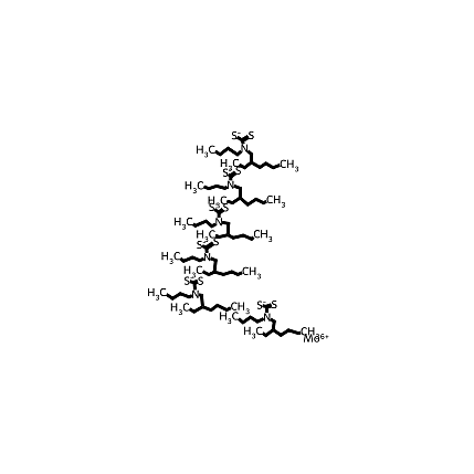 CCCCC(CC)CN(CCCC)C(=S)[S-].CCCCC(CC)CN(CCCC)C(=S)[S-].CCCCC(CC)CN(CCCC)C(=S)[S-].CCCCC(CC)CN(CCCC)C(=S)[S-].CCCCC(CC)CN(CCCC)C(=S)[S-].CCCCC(CC)CN(CCCC)C(=S)[S-].[Mo+6]